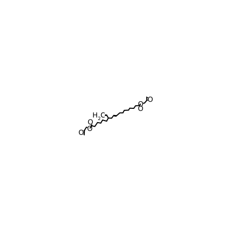 C=CC(CC=CCCCCCCCC(=O)OCC1CO1)CCCCCC(=O)OCC1CO1